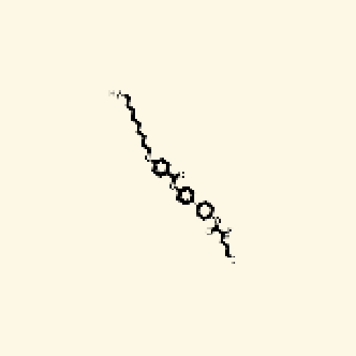 CCCCCCCCCCOc1ccc(C(=O)Oc2ccc([C@H]3CC[C@H](OC(=O)[C@@H](F)CCCC)CC3)cc2)cc1